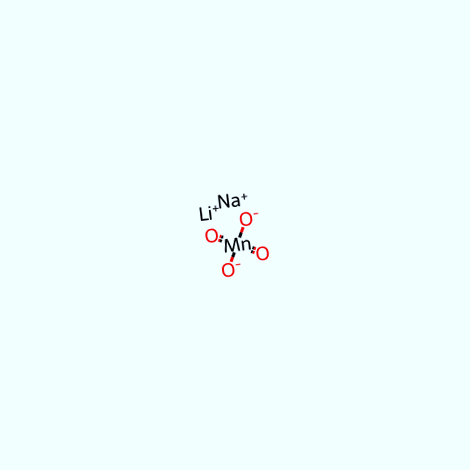 [Li+].[Na+].[O]=[Mn](=[O])([O-])[O-]